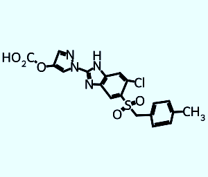 Cc1ccc(CS(=O)(=O)c2cc3nc(-n4cc(OC(=O)O)cn4)[nH]c3cc2Cl)cc1